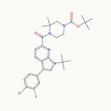 CC(C)(C)OC(=O)N1CCN(C(=O)c2ccc3c(-c4ccc(Cl)c(F)c4)cn(C(C)(C)C)c3n2)C(C)(C)C1